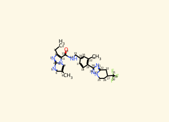 CCc1nc2ncc(C)cn2c1C(=O)NCc1ccc(-c2nc3n(n2)CCC(C(F)(F)F)C3)c(C)c1